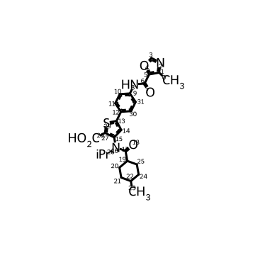 Cc1ncoc1C(=O)Nc1ccc(-c2cc(N(C(=O)C3CCC(C)CC3)C(C)C)c(C(=O)O)s2)cc1